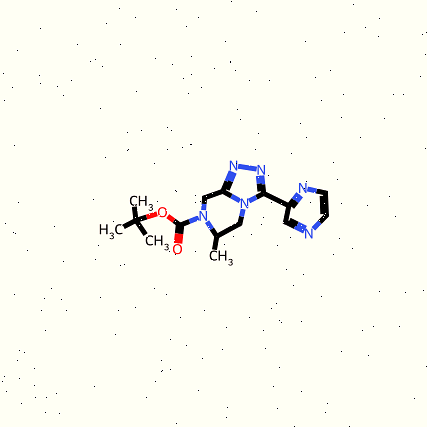 CC1Cn2c(nnc2-c2cnccn2)CN1C(=O)OC(C)(C)C